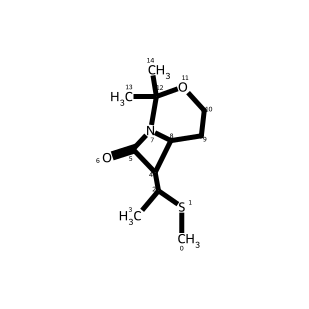 CSC(C)C1C(=O)N2C1CCOC2(C)C